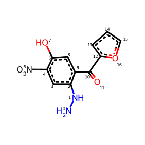 NNc1cc([N+](=O)[O-])c(O)cc1C(=O)c1ccco1